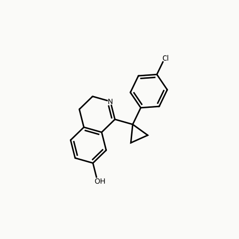 Oc1ccc2c(c1)C(C1(c3ccc(Cl)cc3)CC1)=NCC2